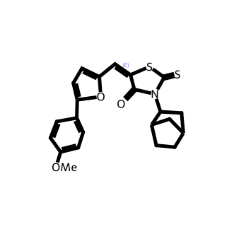 COc1ccc(-c2ccc(/C=C3/SC(=S)N(C4CC5CCC4C5)C3=O)o2)cc1